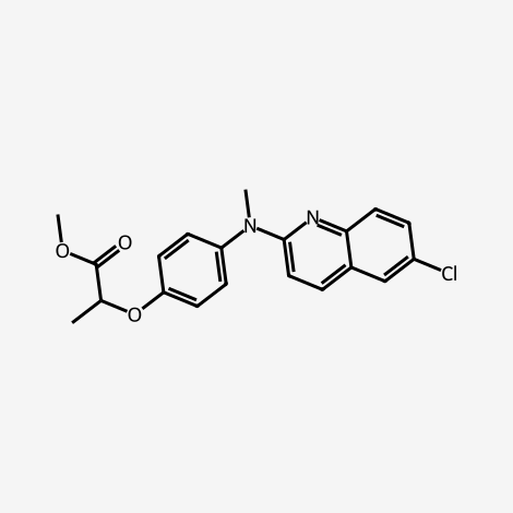 COC(=O)C(C)Oc1ccc(N(C)c2ccc3cc(Cl)ccc3n2)cc1